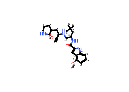 C#CC(CC1CCCNC1=O)NCC(CC(C)(C)C)NC(=O)c1cc2c(OC)cccc2[nH]1